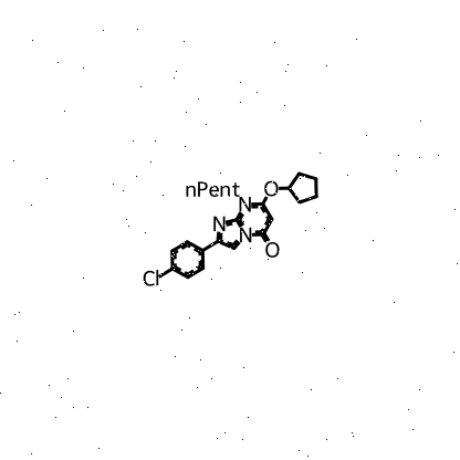 CCCCCn1c(OC2CCCC2)cc(=O)n2cc(-c3ccc(Cl)cc3)nc12